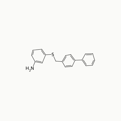 Nc1cccc(SCc2ccc(-c3ccccc3)cc2)c1